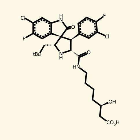 CC(C)(C)C[C@H]1N[C@@H](C(=O)NCCCC[C@@H](O)CC(=O)O)[C@H](c2ccc(F)c(Cl)c2)[C@@]12C(=O)Nc1cc(Cl)c(F)cc12